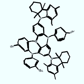 Cc1cc(C)c2c(c1)C1(C)CCCCC1(C)N2c1ccc2c(c1)N(c1ccc(C(C)(C)C)cc1)c1cc(N3c4c(C)cc(C)cc4C4(C)CCCCC34C)cc3c1B2c1ccc(C(C)(C)C)cc1N3c1cccc(C(C)(C)C)c1